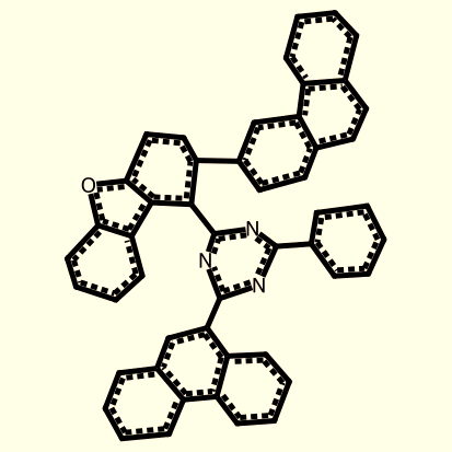 c1ccc(-c2nc(-c3cc4ccccc4c4ccccc34)nc(-c3c(-c4ccc5ccc6ccccc6c5c4)ccc4oc5ccccc5c34)n2)cc1